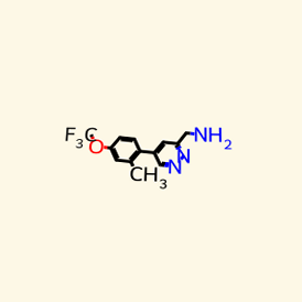 Cc1cc(OC(F)(F)F)ccc1-c1cnnc(CN)c1